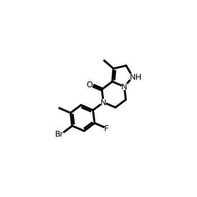 CC1=C2C(=O)N(c3cc(C)c(Br)cc3F)CCN2NC1